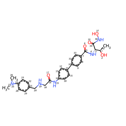 C[C@@H](O)[C@H](NC(=O)c1ccc(-c2ccc(NC(=O)CNCc3ccc(N(C)C)cc3)cc2)cc1)C(=O)NO